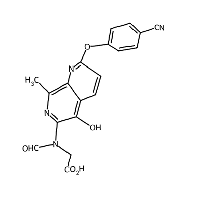 Cc1nc(N(C=O)CC(=O)O)c(O)c2ccc(Oc3ccc(C#N)cc3)nc12